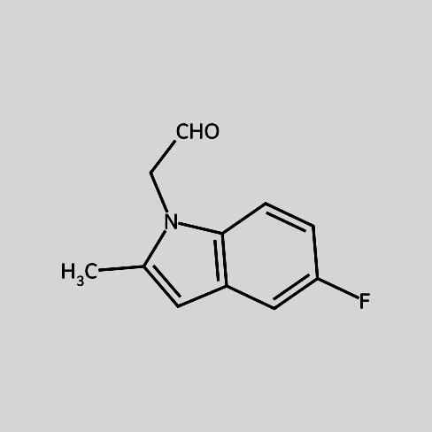 Cc1cc2cc(F)ccc2n1CC=O